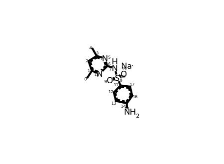 Cc1cc(C)nc(NS(=O)(=O)c2ccc(N)cc2)n1.[Na]